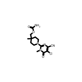 Cn1c(N2CCC(C)(COC(N)=O)CC2)nc(C#N)c(Cl)c1=O